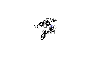 COc1cc(/C=C2\SC(NCCC(=O)N3CCOCC3)=NC2=O)ccc1Oc1ccc(C#N)cc1C(F)(F)F